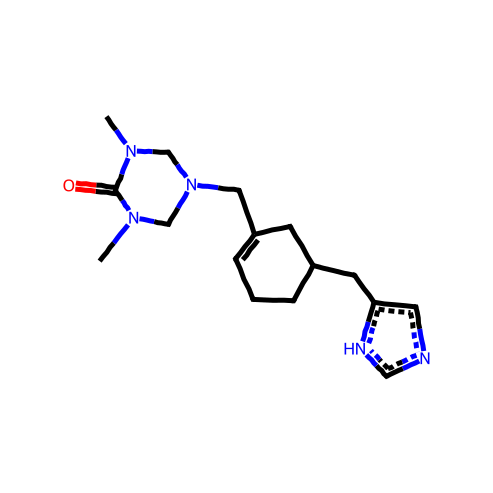 CN1CN(CC2=CCCC(Cc3cnc[nH]3)C2)CN(C)C1=O